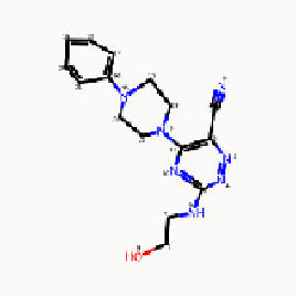 N#Cc1nnc(NCCO)nc1N1CCN(c2ccccc2)CC1